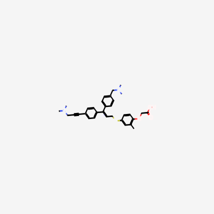 Cc1cc(SC/C=C(/c2ccc(C#CCN(C)C)cc2)c2ccc(CN(C)C)cc2)ccc1OCC(=O)O